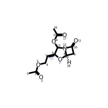 CC(=O)OC/C=C1\O[C@@H]2CC(=O)N2C1OC(C)=O